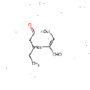 CCCCC=O.CCCCCCCCC=C(C=O)CCCCCC